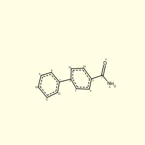 NC(=O)c1ccc(-c2cc[c]cc2)cc1